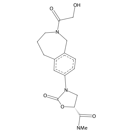 CNC(=O)[C@H]1CN(c2ccc3c(c2)CCCN(C(=O)CO)C3)C(=O)O1